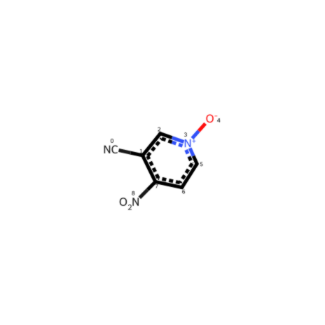 N#Cc1c[n+]([O-])ccc1[N+](=O)[O-]